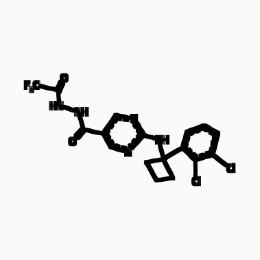 O=C(NNC(=O)C(F)(F)F)c1cnc(NC2(c3cccc(Cl)c3Cl)CCC2)nc1